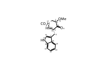 CON(C)C(=O)[C@H](Cc1c[nH]c2ccccc12)NC(=O)O